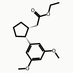 CCOC(=O)C[C@H]1CCC[C@H]1c1cc(OC)cc(OC)c1